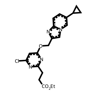 CCOC(=O)CCc1nc(Cl)cc(OCc2cn3cc(C4CC4)ccc3n2)n1